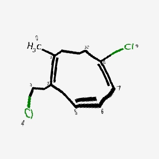 CC1=C(CCl)C=CC=C(Cl)C1